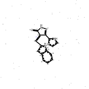 O=C1NN=C(c2ncc[nH]2)/C1=C\c1cc2ccccc2[nH]1